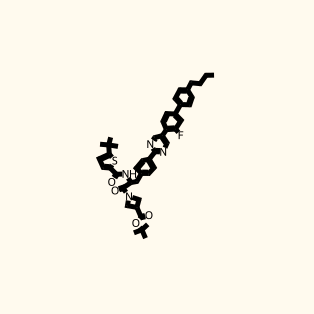 CCCCc1ccc(-c2ccc(-c3cnc(-c4ccc(CC(NC(=O)c5ccc(C(C)(C)C)s5)C(=O)N5CC(C(=O)OC(C)(C)C)C5)cc4)nc3)c(F)c2)cc1